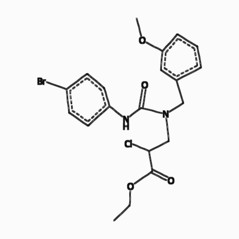 CCOC(=O)C(Cl)CN(Cc1cccc(OC)c1)C(=O)Nc1ccc(Br)cc1